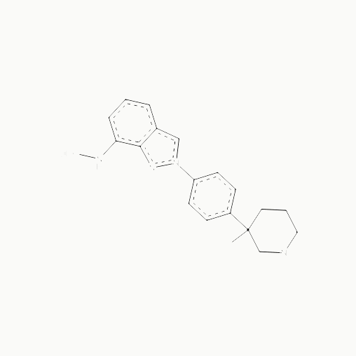 O=CNc1cccc2cn(-c3ccc(C4(F)CCCNC4)cc3)nc12